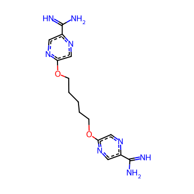 N=C(N)c1cnc(OCCCCCOc2cnc(C(=N)N)cn2)cn1